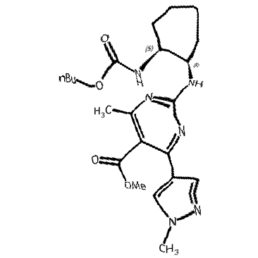 CCCCOC(=O)N[C@H]1CCCC[C@H]1Nc1nc(C)c(C(=O)OC)c(-c2cnn(C)c2)n1